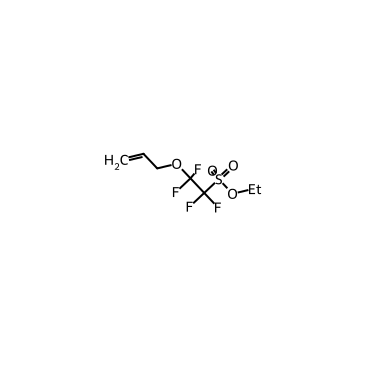 C=CCOC(F)(F)C(F)(F)S(=O)(=O)OCC